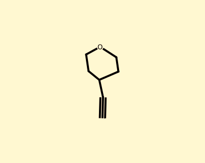 [C]#CC1CCOCC1